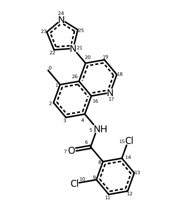 Cc1ccc(NC(=O)c2c(Cl)cccc2Cl)c2nccc(-n3ccnc3)c12